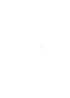 CNC(=O)CCC[O]